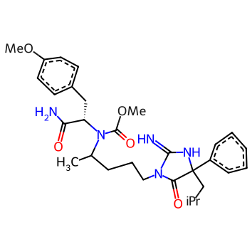 COC(=O)N(C(C)CCCN1C(=N)NC(CC(C)C)(c2ccccc2)C1=O)[C@@H](Cc1ccc(OC)cc1)C(N)=O